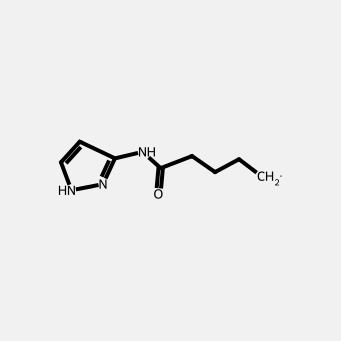 [CH2]CCCC(=O)Nc1cc[nH]n1